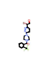 O=CC(Br)c1ccc(N2CCN(C(=O)c3ccccc3C(F)(F)F)CC2)nn1